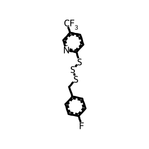 Fc1ccc(CSSSc2ccc(C(F)(F)F)cn2)cc1